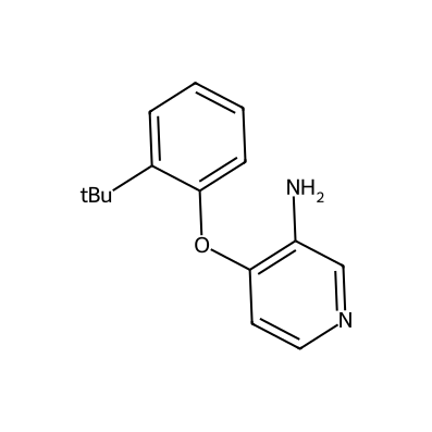 CC(C)(C)c1ccccc1Oc1ccncc1N